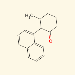 CC1CCCC(=O)C1c1cccc2ccccc12